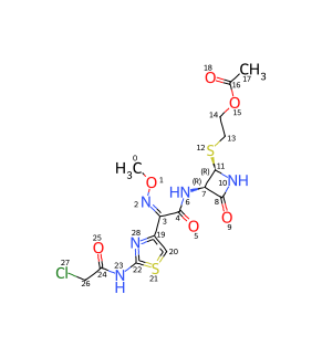 CON=C(C(=O)N[C@@H]1C(=O)N[C@@H]1SCCOC(C)=O)c1csc(NC(=O)CCl)n1